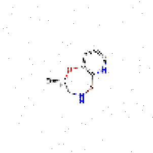 CC[C@@H]1CNSc2ncccc2O1